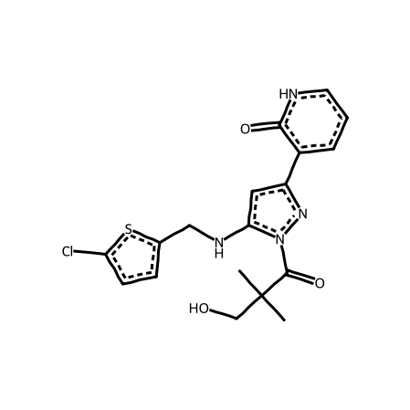 CC(C)(CO)C(=O)n1nc(-c2ccc[nH]c2=O)cc1NCc1ccc(Cl)s1